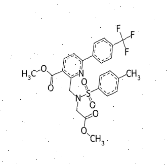 COC(=O)CN(Cc1nc(-c2ccc(C(F)(F)F)cc2)ccc1C(=O)OC)S(=O)(=O)c1ccc(C)cc1